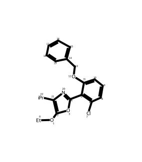 CCOc1oc(-c2c(Cl)cccc2OCc2ccccc2)nc1C(C)C